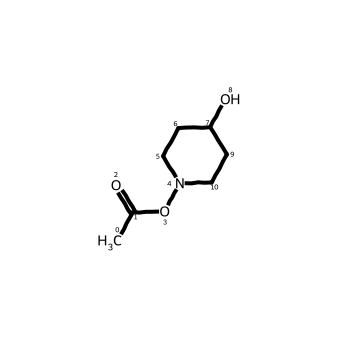 CC(=O)ON1CCC(O)CC1